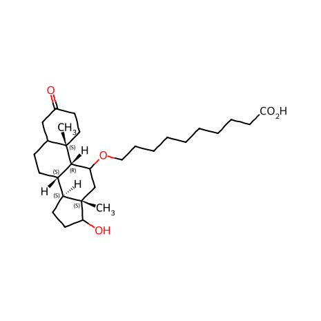 C[C@]12CCC(=O)CC1CC[C@@H]1[C@H]2C(OCCCCCCCCCC(=O)O)C[C@]2(C)C(O)CC[C@@H]12